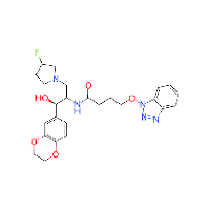 O=C(CCCOn1nnc2ccccc21)NC(CN1CC[C@@H](F)C1)[C@H](O)c1ccc2c(c1)OCCO2